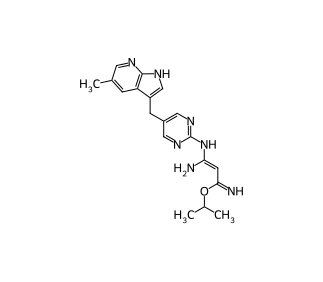 Cc1cnc2[nH]cc(Cc3cnc(N/C(N)=C/C(=N)OC(C)C)nc3)c2c1